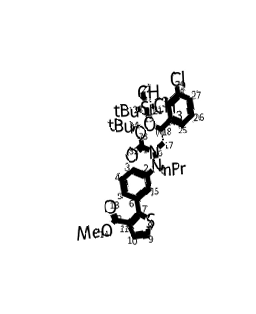 CCCN(c1cccc(-c2sccc2C(=O)OC)c1)N(C[C@H](O[Si](C)(C)C(C)(C)C)c1cccc(Cl)c1)C(=O)OC(C)(C)C